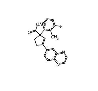 COC(=O)C1(c2cccc(F)c2C)C=C(c2ccc3nccnc3c2)CC1